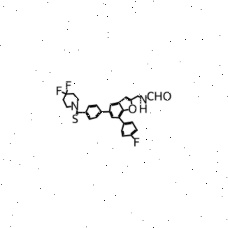 O=CNCc1cc2cc(-c3ccc(C(=S)N4CCC(F)(F)CC4)cc3)cc(-c3ccc(F)cc3)c2o1